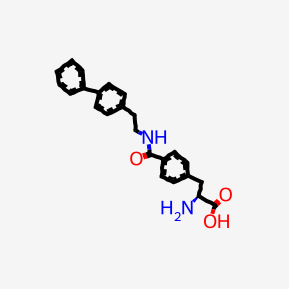 N[C@@H](Cc1ccc(C(=O)NCCc2ccc(-c3ccccc3)cc2)cc1)C(=O)O